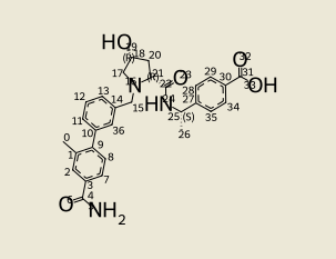 Cc1cc(C(N)=O)ccc1-c1cccc(CN2C[C@H](O)C[C@@H]2C(=O)N[C@@H](C)c2ccc(C(=O)O)cc2)c1